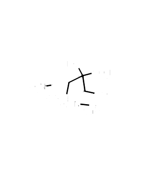 O=C(O)CC(O)(CC(=O)O)C(=O)O.O=[N+]([O-])[O-].O=[N+]([O-])[O-].[Cu+2]